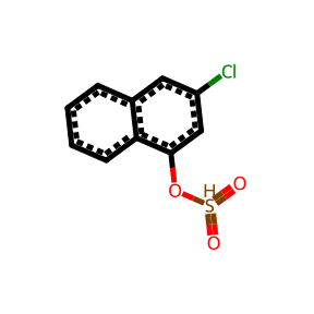 O=[SH](=O)Oc1cc(Cl)cc2ccccc12